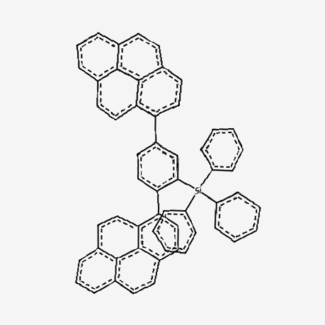 c1ccc([Si](c2ccccc2)(c2ccccc2)c2cc(-c3ccc4ccc5cccc6ccc3c4c56)ccc2-c2ccc3ccc4cccc5ccc2c3c45)cc1